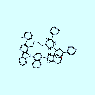 Cc1ccccc1-c1ccc2c3ccccc3n(-c3ccc(-c4nc5ccccc5o4)c4ccccc34)c2c1CCCCc1nc(C2=CC(c3ccccc3)=CCC2)nc(-c2ccccc2)n1